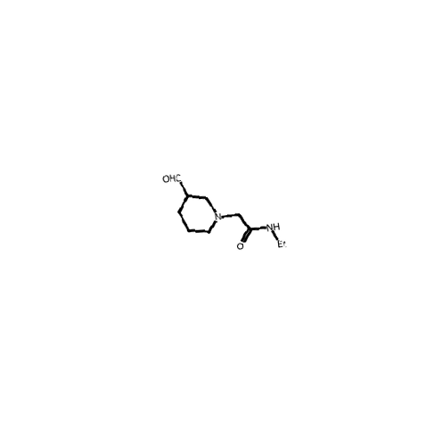 CCNC(=O)CN1CCCC(C=O)C1